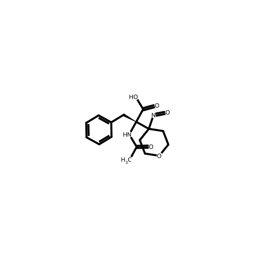 CC(=O)N[C@](Cc1ccccc1)(C(=O)O)C1(N=O)CCOCC1